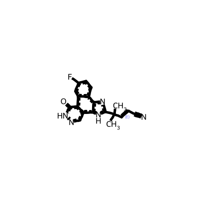 CC(C)(/C=C/C#N)c1nc2c3ccc(F)cc3c3c(=O)[nH]ncc3c2[nH]1